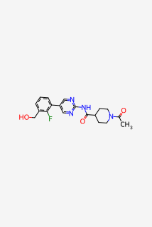 CC(=O)N1CCC(C(=O)Nc2ncc(-c3cccc(CO)c3F)cn2)CC1